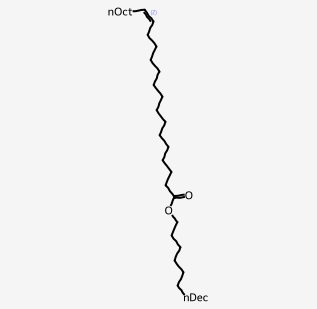 CCCCCCCC/C=C\CCCCCCCCCCCCCC(=O)OCCCCCCCCCCCCCCCC